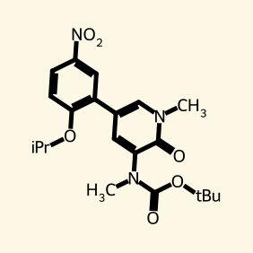 CC(C)Oc1ccc([N+](=O)[O-])cc1-c1cc(N(C)C(=O)OC(C)(C)C)c(=O)n(C)c1